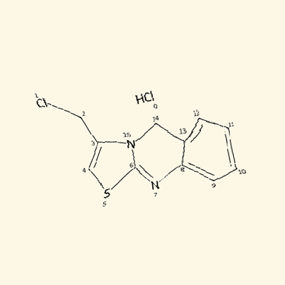 Cl.ClCC1=CSC2=Nc3ccccc3CN12